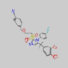 COc1ccc(C(C)(C)c2cnc(S(=O)(=O)CCOCc3ccc(C#N)cc3)n2-c2ccc(F)cc2)cc1OC